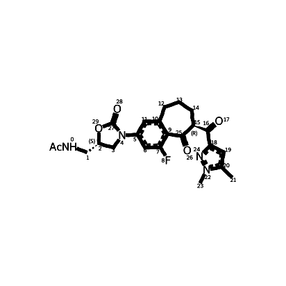 CC(=O)NC[C@H]1CN(c2cc(F)c3c(c2)CCC[C@@H](C(=O)c2cc(C)n(C)n2)C3=O)C(=O)O1